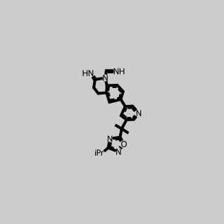 CC(C)c1noc(C(C)(C)c2cncc(-c3ccc4c(c3)CCC(=N)N4C=N)c2)n1